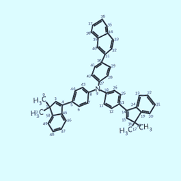 CC1(C)C=C(c2ccc(N(c3ccc(C4=CC(C)(C)c5ccccc54)cc3)c3ccc(-c4ccc5ccccc5c4)cc3)cc2)c2ccccc21